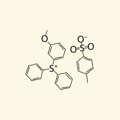 COc1cccc([S+](c2ccccc2)c2ccccc2)c1.Cc1ccc(S(=O)(=O)[O-])cc1